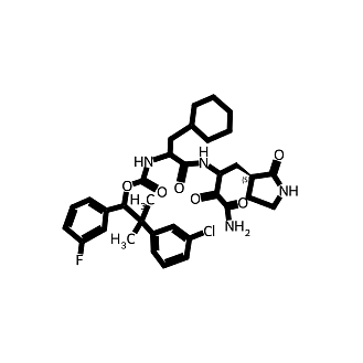 CC(C)(c1cccc(Cl)c1)C(OC(=O)NC(CC1CCCCC1)C(=O)NC(C[C@@H]1CCNC1=O)C(=O)C(N)=O)c1cccc(F)c1